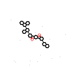 c1ccc2cc(-c3ccc4oc5cc6c(cc5c4c3)oc3ccc(-c4ccc(-c5cc7ccccc7c7ccccc57)c5ccccc45)cc36)ccc2c1